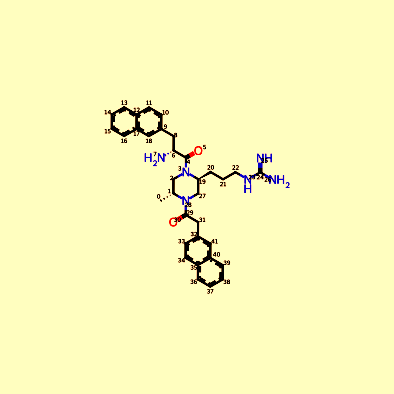 C[C@@H]1CN(C(=O)[C@H](N)Cc2ccc3ccccc3c2)[C@@H](CCCNC(=N)N)CN1C(=O)Cc1ccc2ccccc2c1